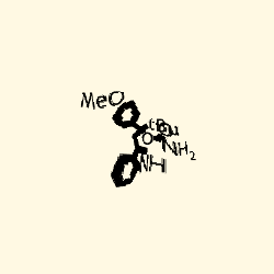 COc1ccc(C(Cc2c[nH]c3ccccc23)(OC(N)=O)C(C)(C)C)cc1